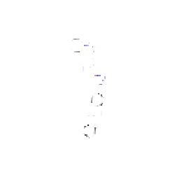 CN(CCCNc1nnc(-c2ccc(NC(=O)c3ccccc3F)cc2)o1)C1CCCCC1